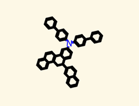 c1ccc(-c2ccc(N(c3ccc(-c4ccccc4)cc3)c3ccc4c(c3)-c3ccc5ccccc5c3CC4c3ccc4ccccc4c3)cc2)cc1